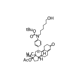 CC(=O)O[C@]1(C(C)=O)CC[C@H]2[C@@H]3CCC4=CC(=O)CCC4=C3[C@@H](c3ccc(N(CCCCCCO)C(=O)OC(C)(C)C)cc3)C[C@@]21C